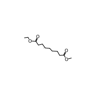 CCOC(=O)CC[CH]CCCCC(=O)OC